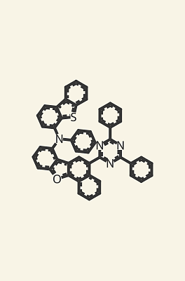 c1ccc(-c2nc(-c3ccccc3)nc(-c3cc4c(oc5cccc(N(c6ccccc6)c6cccc7c6sc6ccccc67)c54)c4ccccc34)n2)cc1